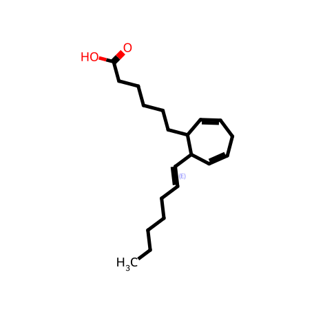 CCCCC/C=C/C1C=CCC=CC1CCCCCC(=O)O